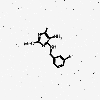 COc1nc(C)c(N)c(NCc2cccc(Br)c2)n1